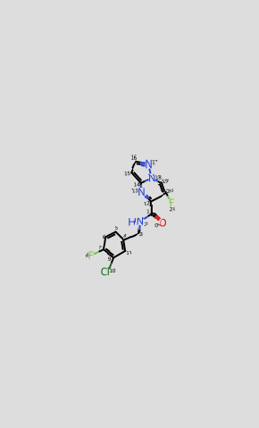 O=C(NCc1ccc(F)c(Cl)c1)c1nc2ccnn2cc1F